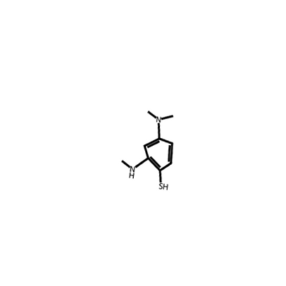 CNc1cc(N(C)C)ccc1S